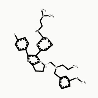 CCCN(Cc1cccc(OC)c1)C[C@@H]1CCc2nc(-c3ccc(F)cc3)c(-c3ccnc(NCCN(C)C)n3)n21